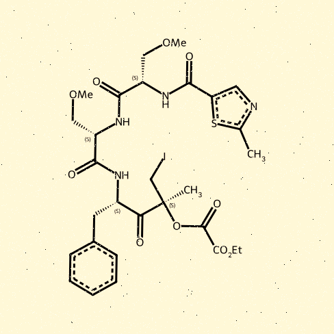 CCOC(=O)C(=O)O[C@](C)(CI)C(=O)[C@H](Cc1ccccc1)NC(=O)[C@H](COC)NC(=O)[C@H](COC)NC(=O)c1cnc(C)s1